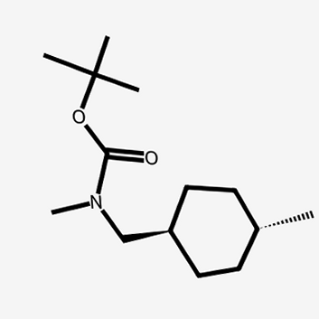 CN(C[C@H]1CC[C@H](C)CC1)C(=O)OC(C)(C)C